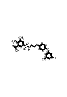 Cc1cc(S(=O)(=O)NCCSc2ccc(Oc3cc(Cl)cc(Cl)c3)cc2)cc(C(=O)O)c1C